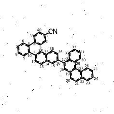 N#Cc1ccc(-c2ccccc2-c2ccc3cc(-c4cc5ccc6ccccc6c5c5ccccc45)ccc3c2)cc1